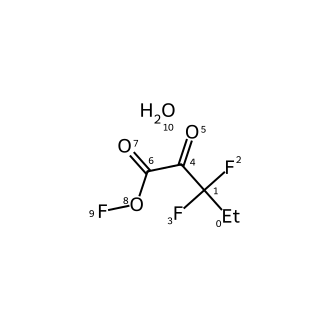 CCC(F)(F)C(=O)C(=O)OF.O